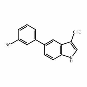 N#Cc1cccc(-c2ccc3[nH]cc(C=O)c3c2)c1